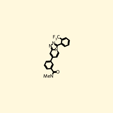 CNC(=O)c1cccc(-c2ccn3c(-c4ccccc4C(F)(F)F)nnc3c2)c1